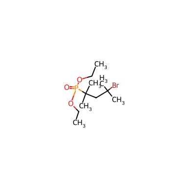 CCOP(=O)(OCC)C(C)(C)CC(C)(C)Br